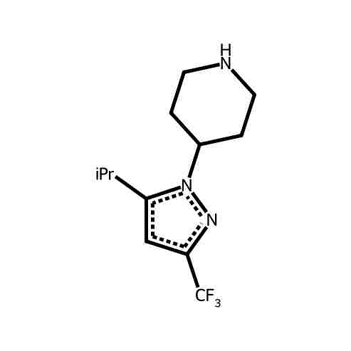 CC(C)c1cc(C(F)(F)F)nn1C1CCNCC1